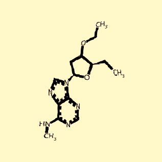 CCOC1C[C@H](n2cnc3c(NC)ncnc32)O[C@@H]1CC